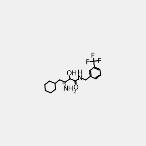 N[C@H](CC1CCCCC1)C(O)C(=O)NCc1cccc(C(F)(F)F)c1